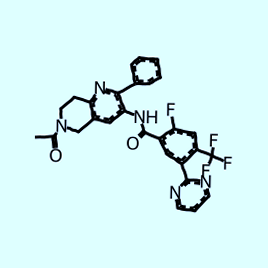 CC(=O)N1CCc2nc(-c3ccccc3)c(NC(=O)c3cc(-c4ncccn4)c(C(F)(F)F)cc3F)cc2C1